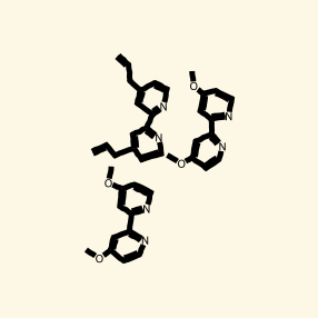 C=CCc1ccnc(-c2cc(CC=C)ccn2)c1.COc1ccnc(-c2cc(OC)ccn2)c1.COc1ccnc(-c2cc(OC)ccn2)c1